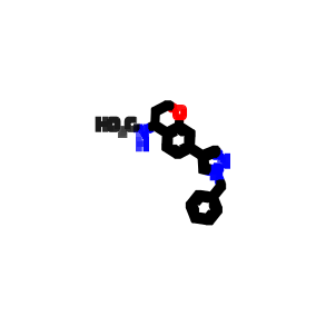 O=C(O)NC1CCOc2cc(-c3cnn(Cc4ccccc4)c3)ccc21